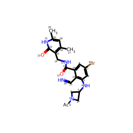 CC(=O)N1CC(Nc2cc(Br)cc(C(=O)NCc3c(C)cc(C)[nH]c3=O)c2C=N)C1